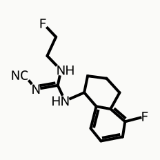 N#CN=C(NCCF)NC1CCCc2c(F)cccc21